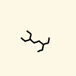 CCC(CC)CCC(CC)CC